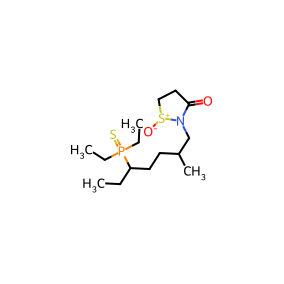 CCC(CCC(C)CN1C(=O)CC[S+]1[O-])P(=S)(CC)CC